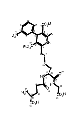 CCOC(=O)C1=C(C)NC(CSSC[C@H](NC(=O)CC[C@H](N)C(=O)O)C(=O)NCC(=O)O)=C(C(=O)OCC)C1c1cccc([N+](=O)[O-])c1